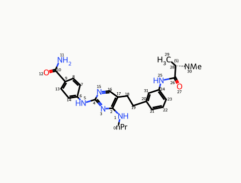 CCCNc1nc(Nc2ccc(C(N)=O)cc2)ncc1CCc1cccc(NC(=O)[C@H](C)NC)c1